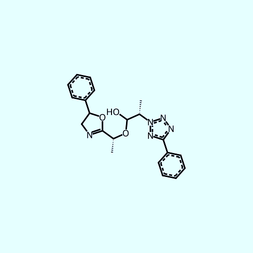 C[C@@H](OC(O)[C@H](C)n1nnc(-c2ccccc2)n1)C1=NCC(c2ccccc2)O1